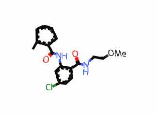 COCCNC(=O)c1ccc(Cl)cc1NC(=O)c1ccccc1C